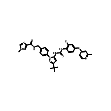 Cc1cc(Oc2ccc(NC(=O)Nc3cc(C(C)(C)C)nn3-c3ccc(CNC(=O)c4cn(C)cn4)cc3)c(F)c2)ccn1